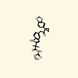 CC(C)(C)OC(=O)NC(=O)C(C)(C)c1cc2cc(CC(=O)C3(c4ccc5c(c4)OCO5)CC3)ccc2[nH]1